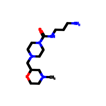 CN1CCOC(CN2CCN(C(=O)NCCCN)CC2)C1